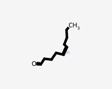 CCCC/C=C\CCCC=O